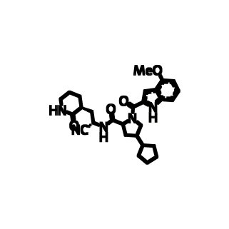 COc1cccc2[nH]c(C(=O)N3CC(C4CCCC4)CC3C(=O)N[C@H](C#N)C[C@@H]3CCCNC3=O)cc12